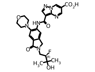 CC(C)(O)[C@H](F)CN1Cc2cc(NC(=O)c3cnn4cc(C(=O)O)cnc34)c(N3CCOCC3)cc2C1=O